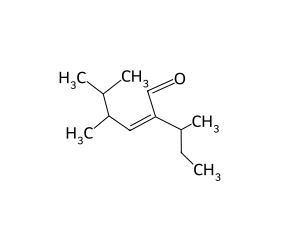 CCC(C)/C(C=O)=C/C(C)C(C)C